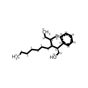 CCCCCCCC(C(Br)CC)[C@H](CO)c1ccccc1